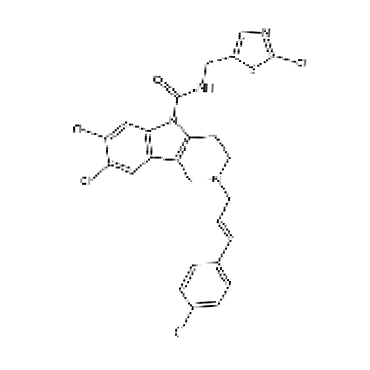 O=C(NCc1cnc(Cl)s1)n1c2c(c3cc(Cl)c(Cl)cc31)CN(CC=Cc1ccc(Cl)cc1)CC2